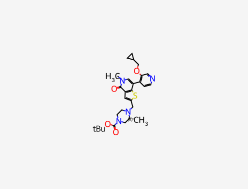 C[C@@H]1CN(C(=O)OC(C)(C)C)CCN1Cc1cc2c(=O)n(C)cc(-c3ccncc3OCC3CC3)c2s1